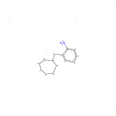 Nc1ccccc1CC1CCCCCC1